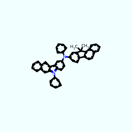 CC1(C)c2cc(N(c3ccccc3)c3ccc4c(c3)c3cc5ccccc5cc3n4-c3ccccc3)ccc2-c2ccc3ccccc3c21